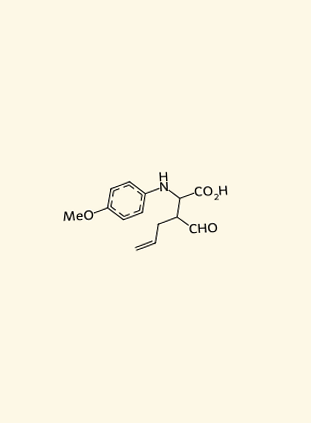 C=CCC(C=O)C(Nc1ccc(OC)cc1)C(=O)O